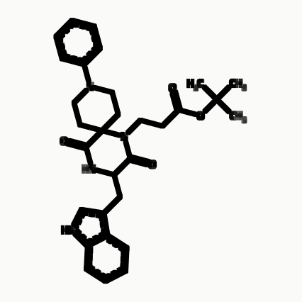 CC(C)(C)OC(=O)CCN1C(=O)C(Cc2c[nH]c3ccccc23)NC(=O)C12CCN(c1ccccc1)CC2